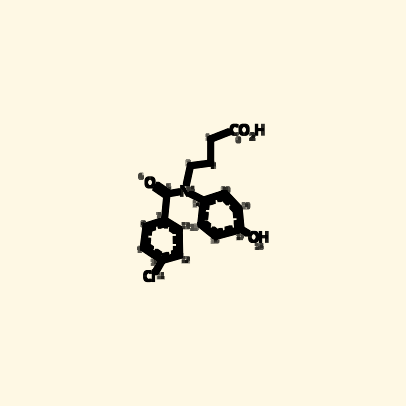 O=C(O)CCCN(C(=O)c1ccc(Cl)cc1)c1ccc(O)cc1